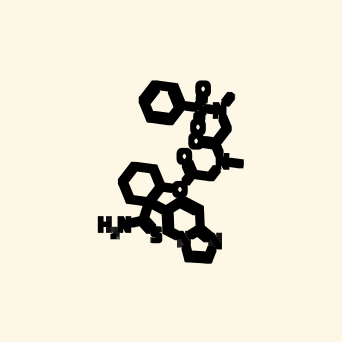 CN(CC(=O)OC1CCCCC1(C(N)=S)c1ccc2nccn2c1)C(=O)CN(C)S(=O)(=O)c1ccccc1